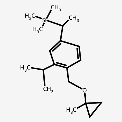 CC(C)c1cc(C(C)[Si](C)(C)C)ccc1COC1(C)CC1